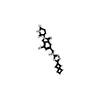 O=C1CCC(N2Cc3c(Br)cc(CNc4nnc(C5CC6(CCC6)C5)o4)cc3C2=O)C(=O)N1